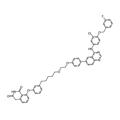 O=C1Cc2cccc(Oc3cccc(CCCCCOCCOc4ccc(-c5ccc6ncnc(Nc7ccc(OCc8cccc(F)c8)c(Cl)c7)c6c5)cc4)c3)c2C(=O)N1